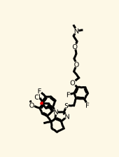 COc1cc(C2(C)CCCc3nc(SCc4c(F)ccc(OCCOCCOCCN(C)C)c4F)n(-c4ccc(F)cc4)c32)ccc1Cl